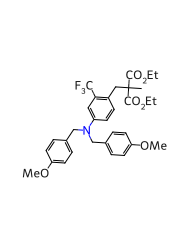 CCOC(=O)C(C)(Cc1ccc(N(Cc2ccc(OC)cc2)Cc2ccc(OC)cc2)cc1C(F)(F)F)C(=O)OCC